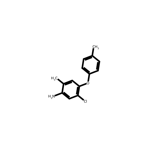 Cc1ccc(Oc2cc(C)c(N)cc2Cl)cc1